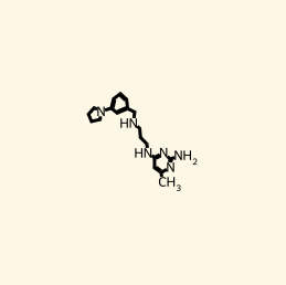 Cc1cc(NCCCNCc2cccc(N3CCCC3)c2)nc(N)n1